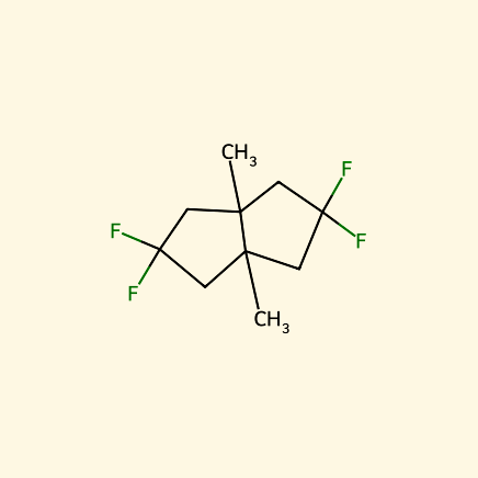 CC12CC(F)(F)CC1(C)CC(F)(F)C2